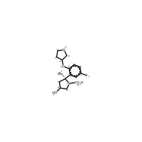 CC(C)(C)[C@@]1(c2cc(F)ccc2OC2CCOC2)CC(O)CN1C(=O)O